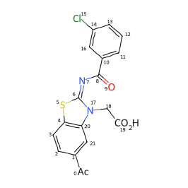 CC(=O)c1ccc2sc(=NC(=O)c3cccc(Cl)c3)n(CC(=O)O)c2c1